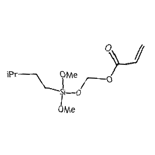 C=CC(=O)OCO[Si](CCC(C)C)(OC)OC